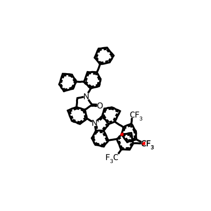 O=C1c2c(cccc2-n2c3cccc(-c4ccc(C(F)(F)F)cc4C(F)(F)F)c3c3c(-c4ccc(C(F)(F)F)cc4C(F)(F)F)cccc32)CN1c1ccc(-c2ccccc2)cc1-c1ccccc1